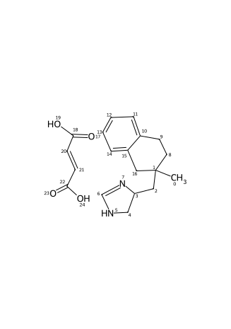 CC1(CC2CNC=N2)CCc2ccccc2C1.O=C(O)C=CC(=O)O